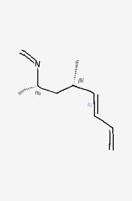 C=C/C=C/[C@@H](C)C[C@H](C)N=C